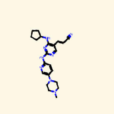 CN1CCN(c2ccc(Nc3ncc(C=CC#N)c(NC4CCCC4)n3)nc2)CC1